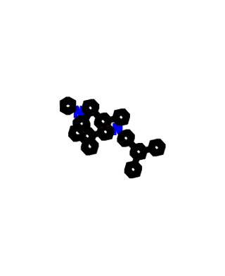 c1ccc(-c2cc(-c3ccccc3)cc(-c3ccc(N(c4ccc(-c5cc6ccccc6c6ccccc56)cc4)c4ccccc4-c4cccc(-c5cccc6c5c5ccccc5n6-c5ccccc5)c4)cc3)c2)cc1